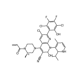 C=CC(=O)N1CCN(C2=C(C#N)C(O)N(C3=C(C)C=CNC3C(C)C)c3nc(-c4c(O)c(Cl)c(F)c(F)c4Cl)c(Cl)cc32)C[C@H]1C